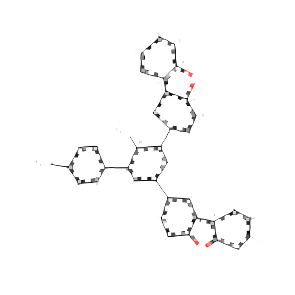 N#Cc1ccc(-c2cc(-c3ccc4oc5ccccc5c4c3)cc(-c3ccc4oc5ccccc5c4c3)c2C#N)cc1